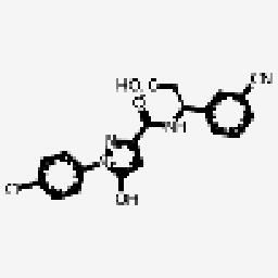 N#Cc1cccc([C@H](CC(=O)O)NC(=O)c2cc(O)n(-c3ccc(Cl)cc3)n2)c1